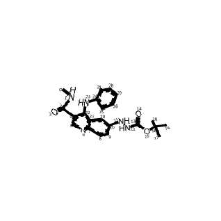 CNC(=O)c1cnc2ccc(NNC(=O)OC(C)(C)C)cc2c1Nc1ccccc1